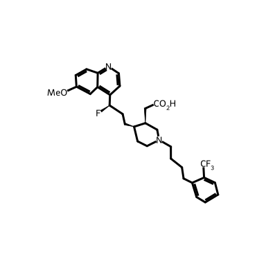 COc1ccc2nccc([C@H](F)CC[C@@H]3CCN(CCCCc4ccccc4C(F)(F)F)C[C@@H]3CC(=O)O)c2c1